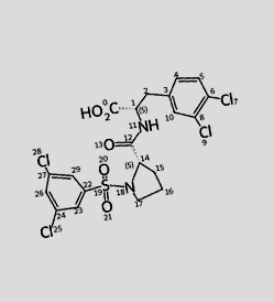 O=C(O)[C@H](Cc1ccc(Cl)c(Cl)c1)NC(=O)[C@@H]1CCCN1S(=O)(=O)c1cc(Cl)cc(Cl)c1